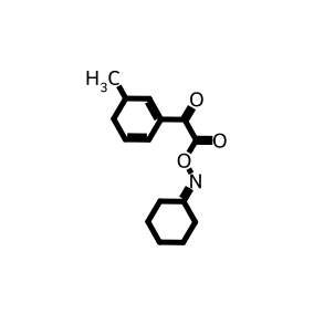 CC1C=C(C(=O)C(=O)ON=C2CCCCC2)C=CC1